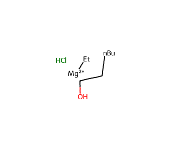 CCCCCCO.C[CH2][Mg+2].Cl